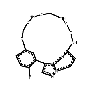 Fc1ccc2cc1-c1cnn3ccc(nc13)NCCNCCNCCO2